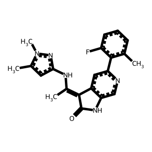 CC(Nc1cc(C)n(C)n1)=C1C(=O)Nc2cnc(-c3c(C)cccc3F)cc21